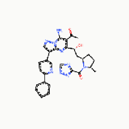 CC(=O)c1c([C@H](O)C[C@H]2CC[C@@H](C)N2C(=O)c2nnc[nH]2)nc2c(-c3ccc(-c4ccccc4)nc3)cnn2c1N